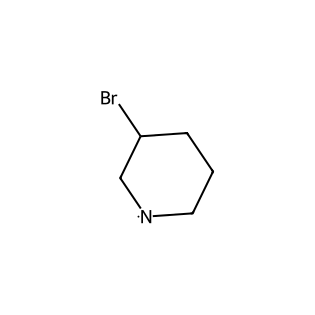 BrC1CCC[N]C1